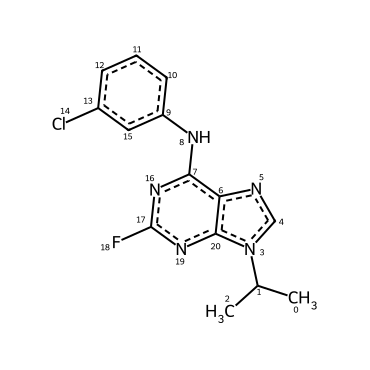 CC(C)n1cnc2c(Nc3cccc(Cl)c3)nc(F)nc21